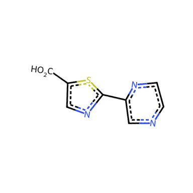 O=C(O)c1cnc(-c2cnccn2)s1